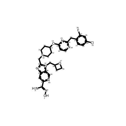 NC(=NO)c1cc2nc(CN3CCC(Oc4ccnc(Cc5ccc(Cl)cc5F)n4)CC3)n(CC3CCO3)c2cn1